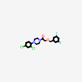 O=C(COCc1cc(F)cc(F)c1)N1CCN(c2ccc(Cl)cc2Cl)CC1